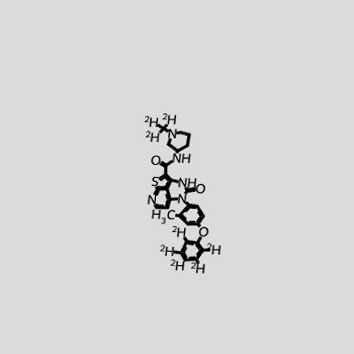 [2H]c1c([2H])c([2H])c(Oc2ccc(N3C(=O)Nc4c(C(=O)NC5CCCN(C([2H])([2H])[2H])C5)sc5nccc3c45)c(C)c2)c([2H])c1[2H]